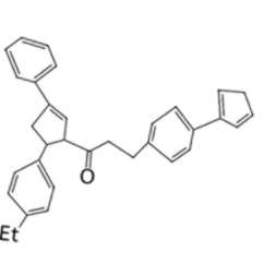 CCc1ccc(C2CC(c3ccccc3)=CC2C(=O)CCc2ccc(C3=CCC=C3)cc2)cc1